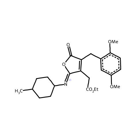 CCOC(=O)CC1=C(Cc2cc(OC)ccc2OC)C(=O)O/C1=N\C1CCC(C)CC1